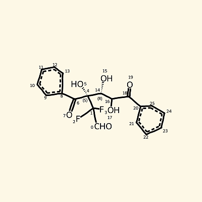 O=CC(F)(F)[C@@](O)(C(=O)c1ccccc1)[C@H](O)C(O)C(=O)c1ccccc1